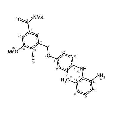 CNC(=O)c1cc(COc2cnc(Nc3c(C)cccc3N)nc2)c(Cl)c(OC)c1